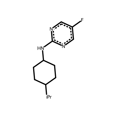 CC(C)C1CCC(Nc2ncc(F)cn2)CC1